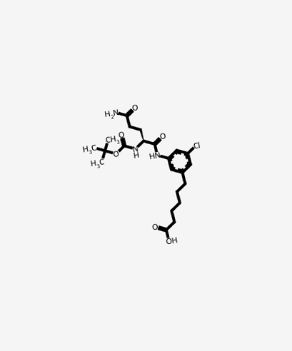 CC(C)(C)OC(=O)N[C@@H](CCC(N)=O)C(=O)Nc1cc(Cl)cc(CCCCCC(=O)O)c1